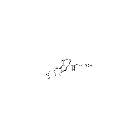 Cc1nc(NCCCO)c2sc3nc4c(cc3c2n1)COC(C)(C)C4